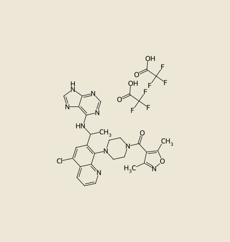 Cc1noc(C)c1C(=O)N1CCN(c2c(C(C)Nc3ncnc4[nH]cnc34)cc(Cl)c3cccnc23)CC1.O=C(O)C(F)(F)F.O=C(O)C(F)(F)F